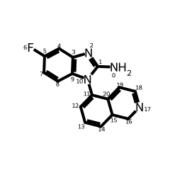 Nc1nc2cc(F)ccc2n1C1=CC=CC2CN=CC=C12